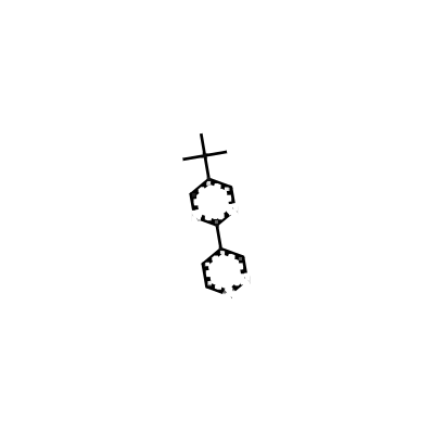 CC(C)(C)c1cnc(-c2ccnnc2)nc1